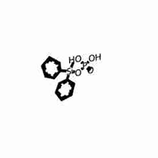 C[Si](OP(=O)(O)O)(c1ccccc1)c1ccccc1